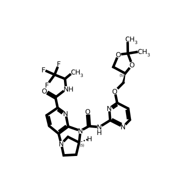 CC(NC(=O)c1ccc2c(n1)N(C(=O)Nc1nccc(OC[C@H]3COC(C)(C)O3)n1)[C@H]1CCN2C1)C(F)(F)F